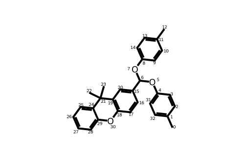 Cc1ccc(OC(Oc2ccc(C)cc2)c2ccc3c(c2)C(C)(C)c2ccccc2O3)cc1